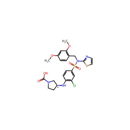 COc1ccc(CN(c2nccs2)S(=O)(=O)c2ccc(N[C@H]3CCN(C(=O)O)C3)c(Cl)c2)c(OC)c1